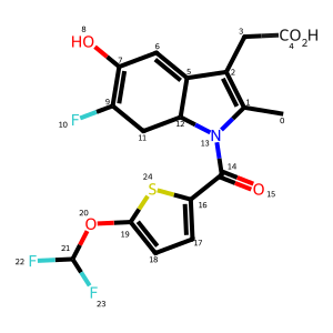 CC1=C(CC(=O)O)C2=CC(O)=C(F)CC2N1C(=O)c1ccc(OC(F)F)s1